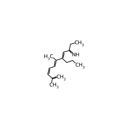 C=C(C)\C=C/C=C(C)/C(=C/C(=N)CC)CCC